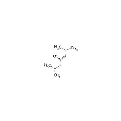 CC(C)C=[N+]([O-])CC(C)C